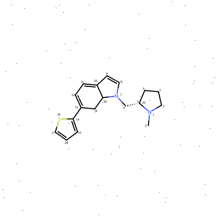 CN1CCC[C@H]1CN1C=CC2=CC=C(c3cccs3)CC21